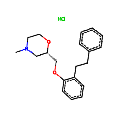 CN1CCO[C@H](COc2ccccc2CCc2ccccc2)C1.Cl